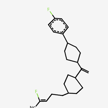 C=C(C1CCC(CCC=C(F)C#N)CC1)C1CCC(c2ccc(F)cc2)CC1